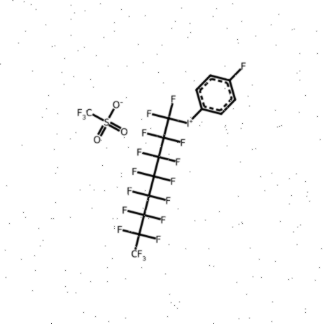 Fc1ccc([I+]C(F)(F)C(F)(F)C(F)(F)C(F)(F)C(F)(F)C(F)(F)C(F)(F)C(F)(F)F)cc1.O=S(=O)([O-])C(F)(F)F